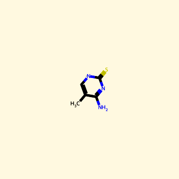 CC1=C[N]C(=S)N=C1N